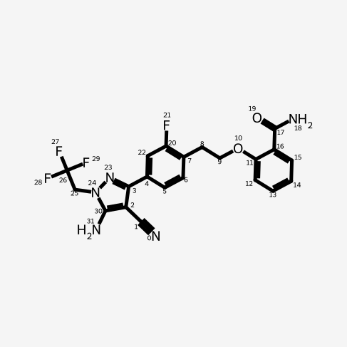 N#Cc1c(-c2ccc(CCOc3ccccc3C(N)=O)c(F)c2)nn(CC(F)(F)F)c1N